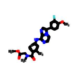 COC(=O)CN(C)C(=O)c1ccc(Nc2nccn3c(-c4ccc(OC)c(F)c4)cnc23)cc1C